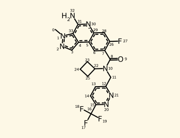 Cn1ncc2c3cc(C(=O)N(Cc4ccc(C(F)(F)F)nn4)C4CCC4)c(F)cc3nc(N)c21